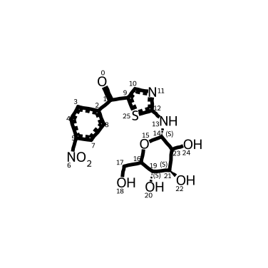 O=C(c1ccc([N+](=O)[O-])cc1)c1cnc(N[C@H]2OC(CO)[C@@H](O)[C@H](O)C2O)s1